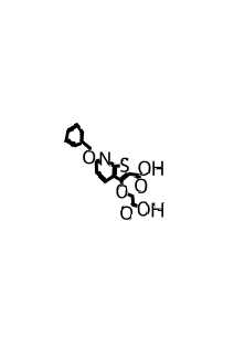 O=C(O)COc1c(C(=O)O)sc2nc(OCc3ccccc3)ccc12